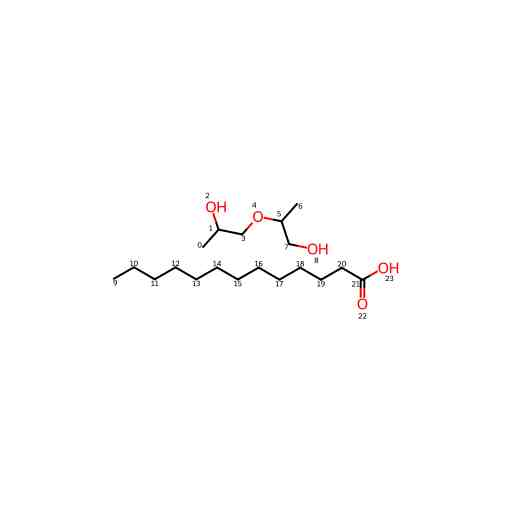 CC(O)COC(C)CO.CCCCCCCCCCCCC(=O)O